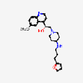 COc1ccc2nccc([C@@H](O)CN3CCC(NCCCc4ccco4)CC3)c2c1